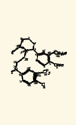 COc1ccc(C2CCCC(C)N2CCN(C)c2ccc(Cl)c(C(F)(F)F)c2)cc1OC